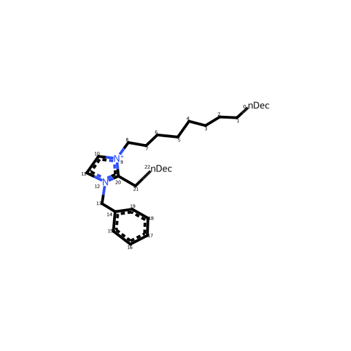 CCCCCCCCCCCCCCCCCC[n+]1ccn(Cc2ccccc2)c1CCCCCCCCCCC